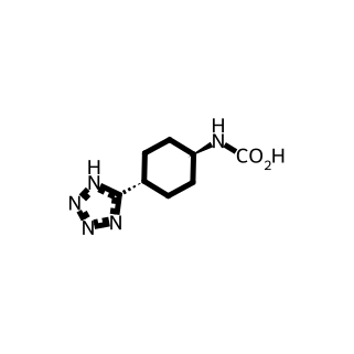 O=C(O)N[C@H]1CC[C@H](c2nnn[nH]2)CC1